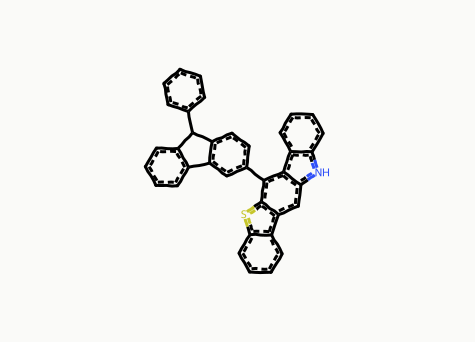 c1ccc(C2c3ccccc3-c3cc(-c4c5sc6ccccc6c5cc5[nH]c6ccccc6c45)ccc32)cc1